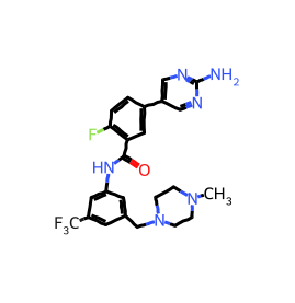 CN1CCN(Cc2cc(NC(=O)c3cc(-c4cnc(N)nc4)ccc3F)cc(C(F)(F)F)c2)CC1